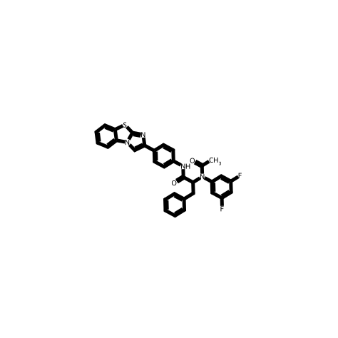 CC(=O)N(c1cc(F)cc(F)c1)C(Cc1ccccc1)C(=O)Nc1ccc(-c2cn3c(n2)sc2ccccc23)cc1